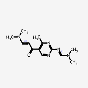 Cc1nc(/N=C/N(C)C)ncc1C(=O)/C=C/N(C)C